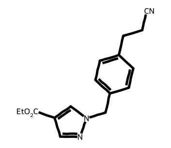 CCOC(=O)c1cnn(Cc2ccc(CCC#N)cc2)c1